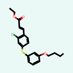 CCCCOc1cccc(Sc2ccc(/C=C/C(=O)OCC)c(Cl)c2)c1